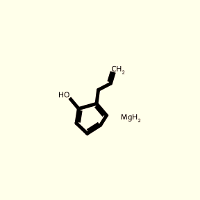 C=CCc1ccccc1O.[MgH2]